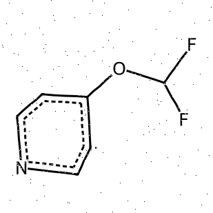 FC(F)Oc1[c]cncc1